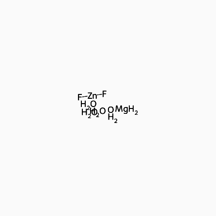 O.O.O.O.[F][Zn][F].[MgH2]